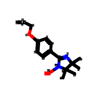 CC1(C)N=C(c2ccc(OCC(=O)O)cc2)N(O)C1(C)C